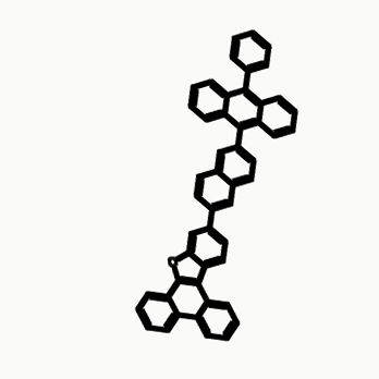 c1ccc(-c2c3ccccc3c(-c3ccc4cc(-c5ccc6c(c5)oc5c7ccccc7c7ccccc7c65)ccc4c3)c3ccccc23)cc1